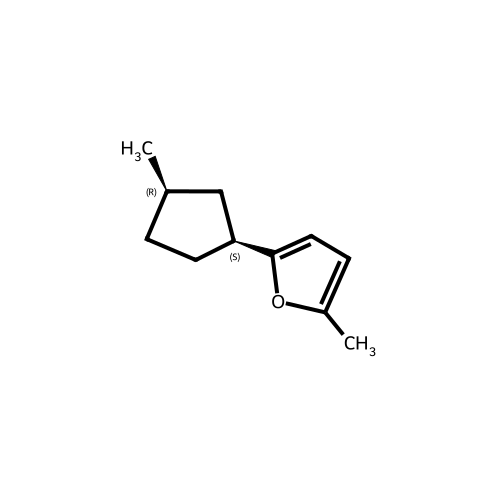 Cc1ccc([C@H]2CC[C@@H](C)C2)o1